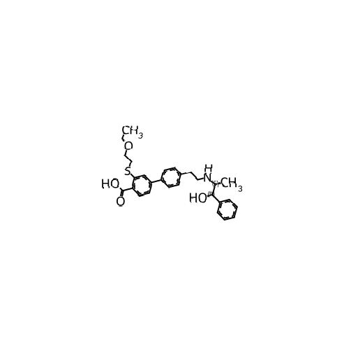 CCOCCSc1cc(-c2ccc(CCN[C@@H](C)[C@H](O)c3ccccc3)cc2)ccc1C(=O)O